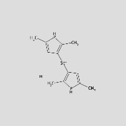 Cc1c[c]([Sc+][c]2cc(C)[pH]c2C)c(C)[pH]1.[H-]